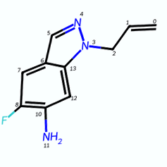 C=CCn1ncc2cc(F)c(N)cc21